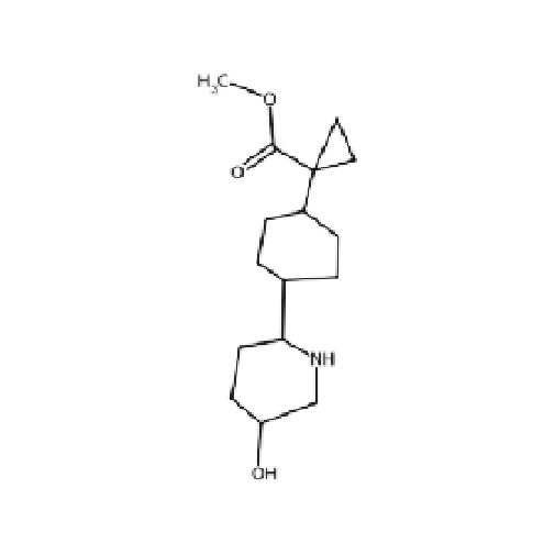 COC(=O)C1(C2CCC(C3CCC(O)CN3)CC2)CC1